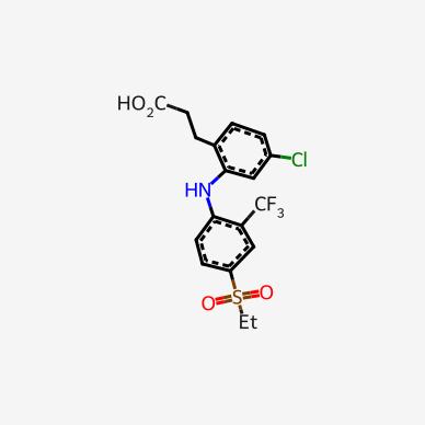 CCS(=O)(=O)c1ccc(Nc2cc(Cl)ccc2CCC(=O)O)c(C(F)(F)F)c1